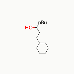 CCCCC(O)CCC1CCCCC1